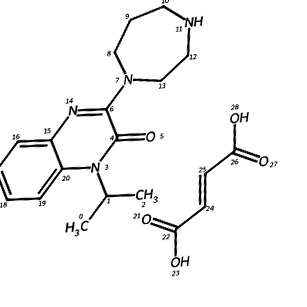 CC(C)n1c(=O)c(N2CCCNCC2)nc2ccccc21.O=C(O)C=CC(=O)O